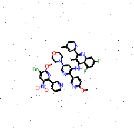 COc1ccc(-c2ncc(N3CCOCC3)cc2Nc2c(C)c(-c3cc(C)ccn3)nc3cc(F)cc(F)c23)cn1.COc1nc(-c2cccnc2)c([N+](=O)[O-])cc1Br